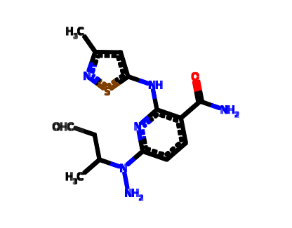 Cc1cc(Nc2nc(N(N)C(C)CC=O)ccc2C(N)=O)sn1